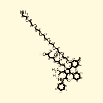 CC(C)c1c(C(=O)Nc2ccccc2)c(-c2ccccc2)c(-c2ccc(F)cc2OCCOCCOCCOCCOCCOCCOCCN)n1CCC(O)CC(O)CC(=O)O